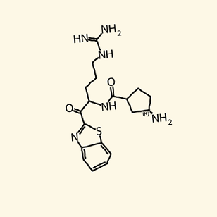 N=C(N)NCCCC(NC(=O)C1CC[C@@H](N)C1)C(=O)c1nc2ccccc2s1